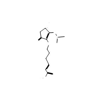 COC(=O)C=CCCCSC1=C(O[SiH](C)C)[C@@H](C(C)(C)C)CC1=O